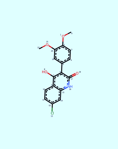 COc1ccc(-c2c(O)c3ccc(Cl)cc3[nH]c2=O)cc1OC